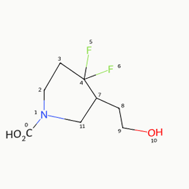 O=C(O)N1CCC(F)(F)C(CCO)C1